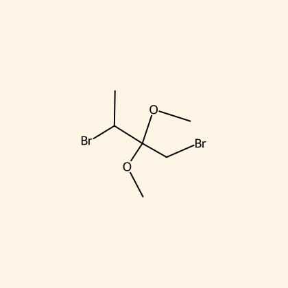 COC(CBr)(OC)C(C)Br